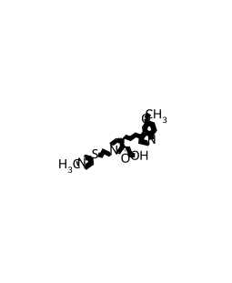 COc1ccc2nccc(CCC[C@@H]3CCN(CCCSc4ccn(C)c4)C[C@@H]3CC(=O)O)c2c1